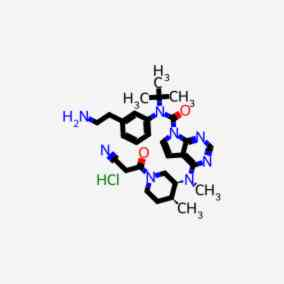 C[C@@H]1CCN(C(=O)CC#N)C[C@@H]1N(C)c1ncnc2c1ccn2C(=O)N(c1cccc(CCN)c1)C(C)(C)C.Cl